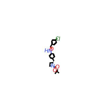 CC(C)(C)OC(=O)N1CC[C@@H]1Cc1ccc(NOCc2ccc(Cl)cc2)cc1